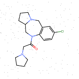 O=C(CN1CCCC1)N1CC2CCCN2Cc2cc(Cl)ccc21